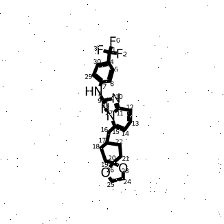 FC(F)(F)c1ccc(Nc2nc3cccc(CC4CCC5(CC4)OCCO5)n3n2)cc1